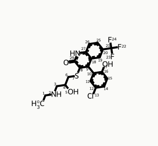 CCNCC(O)CSc1c(-c2cc(Cl)ccc2O)c2cc(C(F)(F)F)ccc2[nH]c1=O